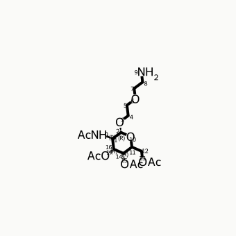 CC(=O)N[C@H]1[C@H](OCCOCCN)OC(COC(C)=O)[C@H](OC(C)=O)[C@@H]1OC(C)=O